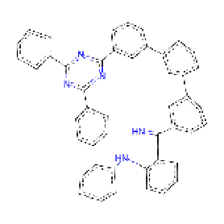 N=C(c1cccc(-c2cccc(-c3cccc(-c4nc(-c5ccccc5)nc(-c5ccccc5)n4)c3)c2)c1)c1ccccc1Nc1ccccc1